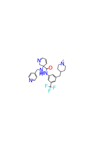 CN1CCC(Cc2cc(NC(=O)C3(NCc4ccncc4)C=CC=NC3)cc(C(F)(F)F)c2)CC1